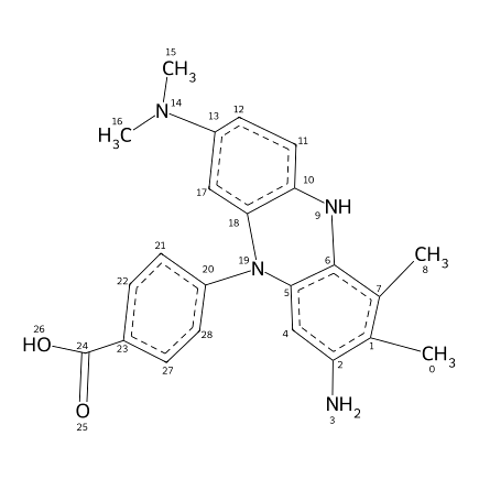 Cc1c(N)cc2c(c1C)Nc1ccc(N(C)C)cc1N2c1ccc(C(=O)O)cc1